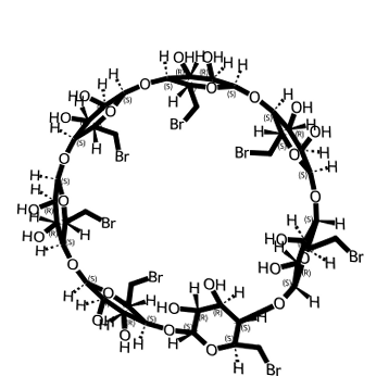 O[C@@H]1[C@@H](O)[C@H]2O[C@H]3[C@H](O)[C@@H](O)[C@@H](O[C@H]4[C@H](O)[C@@H](O)[C@@H](O[C@H]5[C@H](O)[C@@H](O)[C@@H](O[C@H]6[C@H](O)[C@@H](O)[C@@H](O[C@H]7[C@H](O)[C@@H](O)[C@@H](O[C@H]8[C@H](O)[C@@H](O)[C@@H](O[C@@H]1[C@@H](CBr)O2)O[C@@H]8CBr)O[C@@H]7CBr)O[C@@H]6CBr)O[C@@H]5CBr)O[C@@H]4CBr)O[C@@H]3CBr